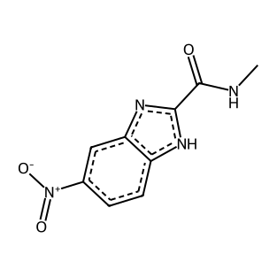 CNC(=O)c1nc2cc([N+](=O)[O-])ccc2[nH]1